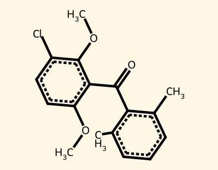 COc1ccc(Cl)c(OC)c1C(=O)c1c(C)cccc1C